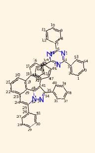 c1ccc(-c2nc(-c3ccccc3)nc(-c3ccc(-c4cccc5cc(-c6ccccc6)n6nc(-c7ccccc7)c(-c7ccccc7)c6c45)cc3)n2)cc1